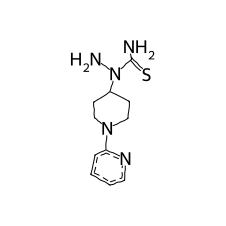 NC(=S)N(N)C1CCN(c2ccccn2)CC1